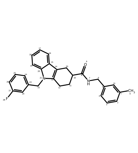 Cc1cccc(CNC(=O)C2CCc3c(c4ccccc4n3Cc3cccc(F)c3)C2)c1